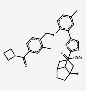 COC(=O)C1C2CC[C@H]1CN(c1nc(-c3cc(C)ccc3OCc3ccc(C(=O)N4CCC4)cc3C)cs1)C2